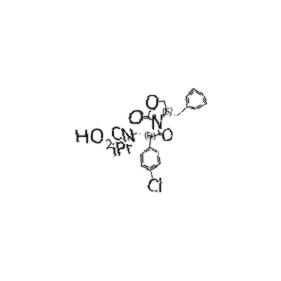 CC(C)N(C[C@H](C(=O)N1C(=O)OC[C@@H]1Cc1ccccc1)c1ccc(Cl)cc1)C(=O)O